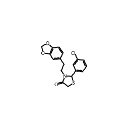 O=C1CSC(c2cccc(Cl)c2)N1CCc1ccc2c(c1)OCO2